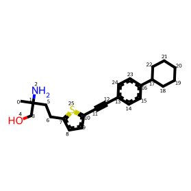 CC(N)(CO)CCc1ccc(C#Cc2ccc(C3CCCCC3)cc2)s1